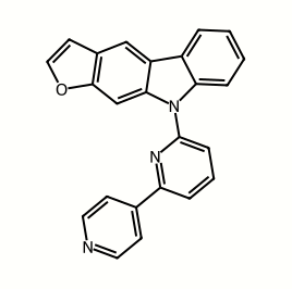 c1cc(-c2ccncc2)nc(-n2c3ccccc3c3cc4ccoc4cc32)c1